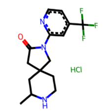 CC1CC2(CCN1)CC(=O)N(c1cc(C(F)(F)F)ccn1)C2.Cl